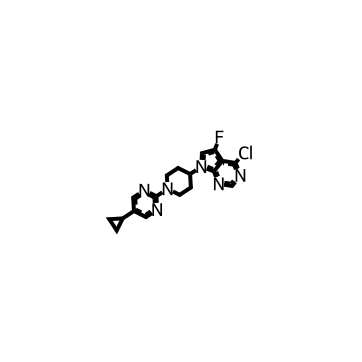 Fc1cn(C2CCN(c3ncc(C4CC4)cn3)CC2)c2ncnc(Cl)c12